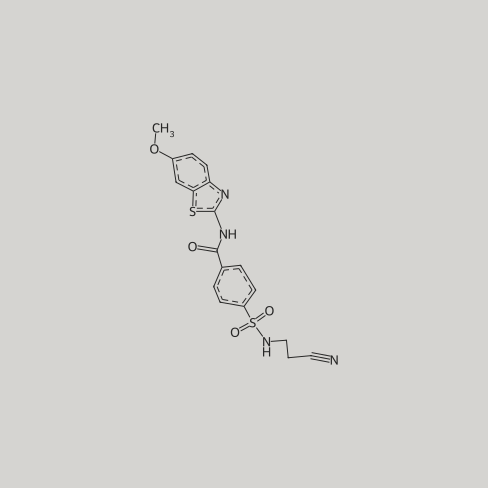 COc1ccc2nc(NC(=O)c3ccc(S(=O)(=O)NCCC#N)cc3)sc2c1